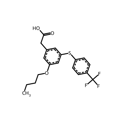 CCCCOc1cc(CC(=O)O)cc(Sc2ccc(C(F)(F)F)cc2)c1